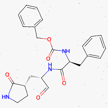 O=C[C@H](C[C@@H]1CCNC1=O)NC(=O)[C@H](Cc1ccccc1)NC(=O)OCc1ccccc1